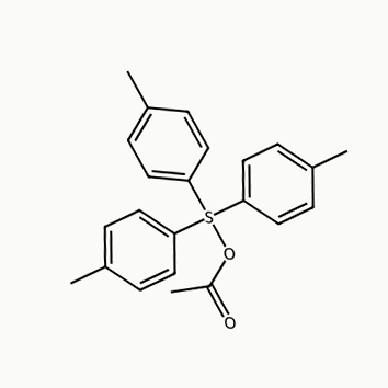 CC(=O)OS(c1ccc(C)cc1)(c1ccc(C)cc1)c1ccc(C)cc1